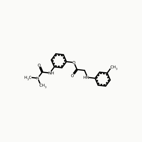 Cc1cccc(NCC(=O)Oc2cccc(NC(=O)N(C)C)c2)c1